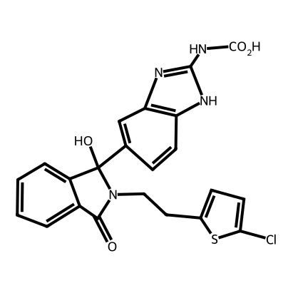 O=C(O)Nc1nc2cc(C3(O)c4ccccc4C(=O)N3CCc3ccc(Cl)s3)ccc2[nH]1